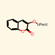 CCCCCOc1cc2ccccc2oc1=O